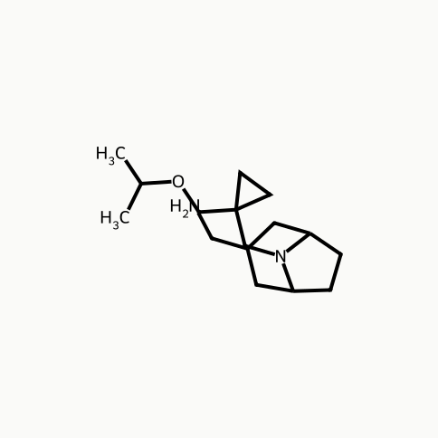 CC(C)OCC1(CN2C3CCC2CC(CN)C3)CC1